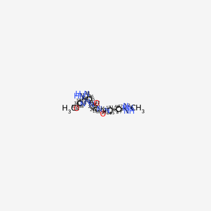 CN/C=N\C(=N)c1ccc(C2=CCN(C(=O)CN3CC[C@]4(CCN(c5ccc(N)c(C(=N)c6ccc(OC)cn6)n5)C4=O)C3)CC2)cc1